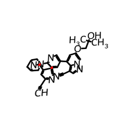 C#Cc1cc(CN2C3CC2CN(c2ccc(-c4cc(OCC(C)(C)O)cn5ncc(C#N)c45)cn2)C3)ccn1